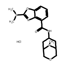 CN(C)c1nc2c(C(=O)NC3CC4COCC(C3)N4C)cccc2o1.Cl